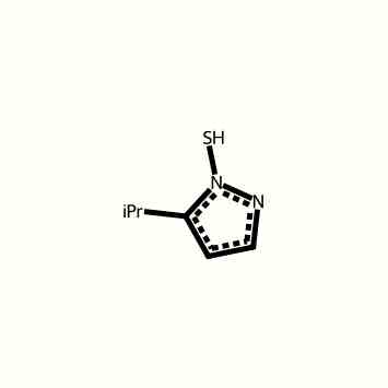 CC(C)c1ccnn1S